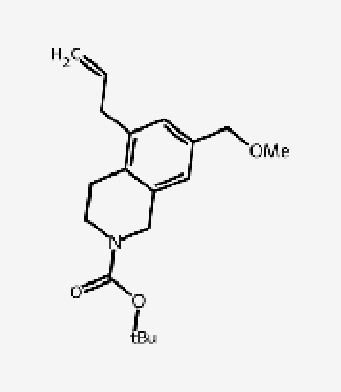 C=CCc1cc(COC)cc2c1CCN(C(=O)OC(C)(C)C)C2